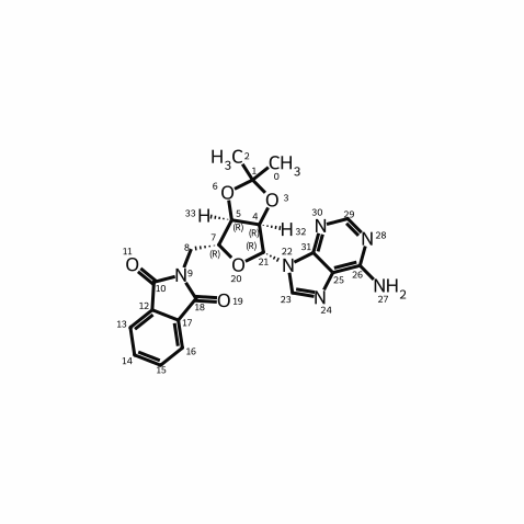 CC1(C)O[C@@H]2[C@H](O1)[C@@H](CN1C(=O)c3ccccc3C1=O)O[C@H]2n1cnc2c(N)ncnc21